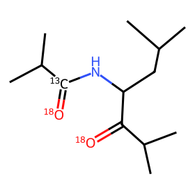 CC(C)CC(N[13C](=[18O])C(C)C)C(=[18O])C(C)C